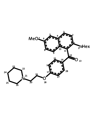 CCCCCCc1ccc2cc(OC)ccc2c1C(=O)c1ccc(OCCN2CCCCC2)cc1